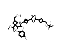 COC(=O)C1(C(Oc2ccc(Cl)cc2)C(=O)NC23CC(c4nnc(C5CC(COC(F)(F)F)C5)o4)(C2)C3)CC(CO)C1